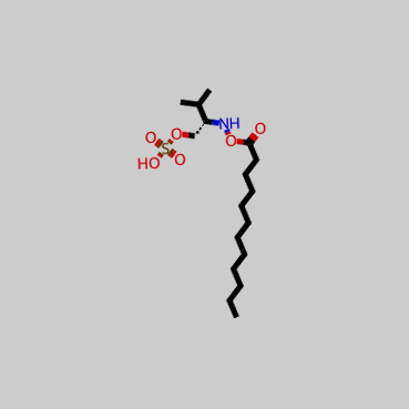 CCCCCCCCCCCC(=O)ON[C@H](COS(=O)(=O)O)C(C)C